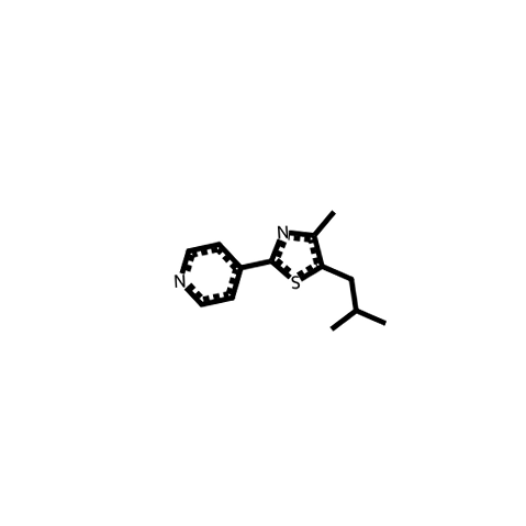 Cc1nc(-c2ccncc2)sc1CC(C)C